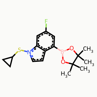 CC1(C)OB(c2cc(F)cc3c2ccn3SC2CC2)OC1(C)C